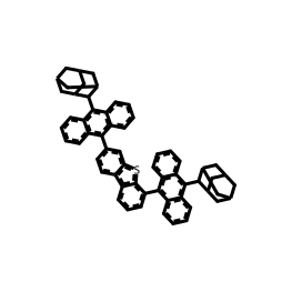 c1ccc2c(C3C4CC5CC(C4)CC3C5)c3ccccc3c(-c3ccc4c(c3)sc3c(-c5c6ccccc6c(C6C7CC8CC(C7)CC6C8)c6ccccc56)cccc34)c2c1